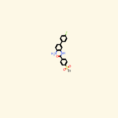 CCS(=O)(=O)c1ccc(C(=O)Nc2cc(-c3ccc(F)cc3)ccc2N)cc1